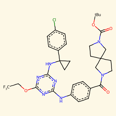 CC(C)(C)OC(=O)N1CCC2(CCN(C(=O)c3ccc(Nc4nc(NC5(c6ccc(Cl)cc6)CC5)nc(OCC(F)(F)F)n4)cc3)C2)C1